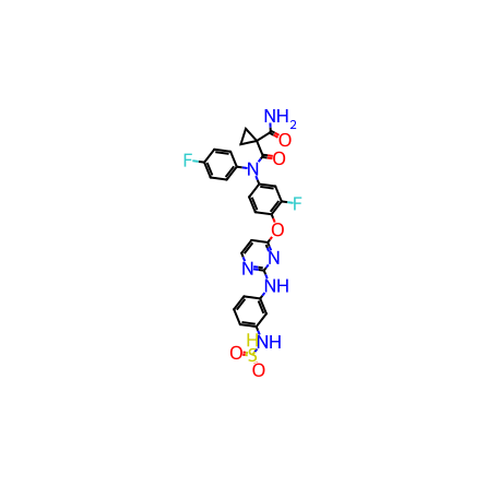 NC(=O)C1(C(=O)N(c2ccc(F)cc2)c2ccc(Oc3ccnc(Nc4cccc(N[SH](=O)=O)c4)n3)c(F)c2)CC1